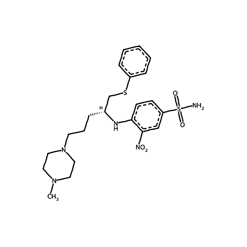 CN1CCN(CCC[C@H](CSc2ccccc2)Nc2ccc(S(N)(=O)=O)cc2[N+](=O)[O-])CC1